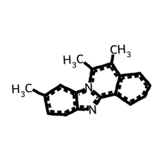 Cc1ccc2nc3c4ccccc4c(C)c(C)n3c2c1